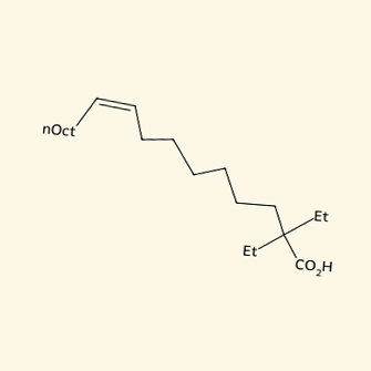 CCCCCCCC/C=C\CCCCCCC(CC)(CC)C(=O)O